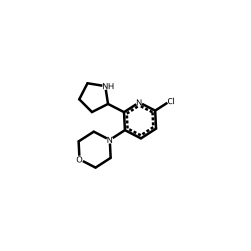 Clc1ccc(N2CCOCC2)c(C2CCCN2)n1